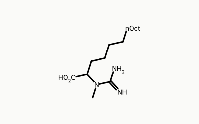 CCCCCCCCCCCCC(C(=O)O)N(C)C(=N)N